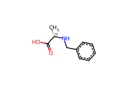 C[C@H](NCc1ccccc1)C(=O)O